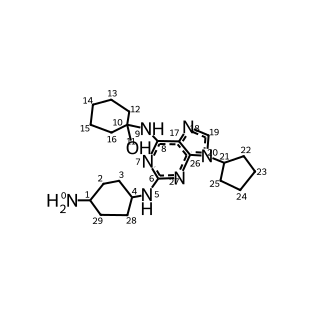 NC1CCC(Nc2nc(NC3(O)CCCCC3)c3ncn(C4CCCC4)c3n2)CC1